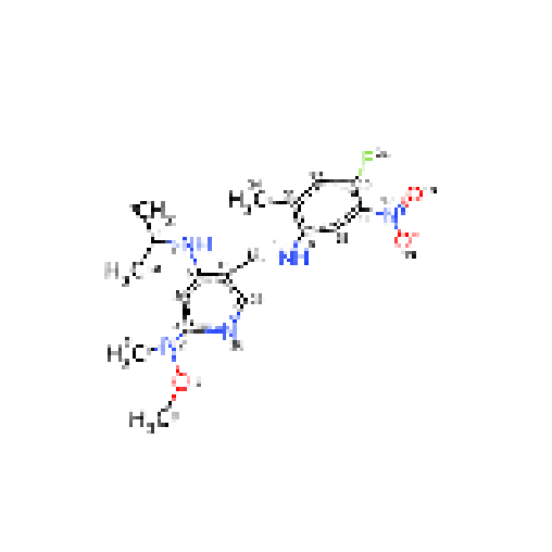 CON(C)c1cc(NC(C)C)c(CNc2cc([N+](=O)[O-])c(F)cc2C)cn1